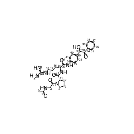 CC(=O)NCC(=O)N1CCC[C@H]1C(=O)N[C@@H](CCCNC(=N)N)C(=O)Nc1ccc(C(O)C(=O)c2ccccc2)cc1